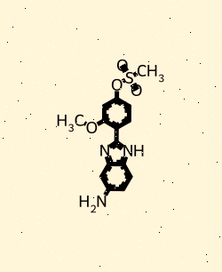 COc1cc(OS(C)(=O)=O)ccc1-c1nc2cc(N)ccc2[nH]1